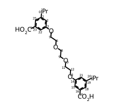 CC(C)c1cc(OCCOCCOCCOc2cc(C(=O)O)cc(C(C)C)c2)cc(C(=O)O)c1